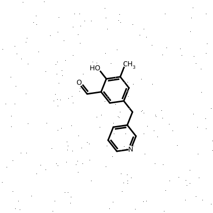 Cc1cc(Cc2cccnc2)cc(C=O)c1O